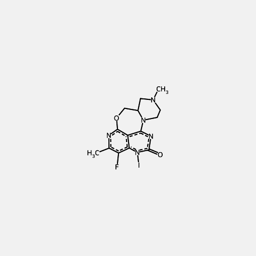 Cc1nc2c3c(nc(=O)n(I)c3c1F)N1CCN(C)CC1CO2